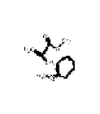 C=C(C)C(=O)OC.COc1ccccc1